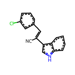 N#CC(=Cc1cccc(Cl)c1)c1c[nH]c2ccccc12